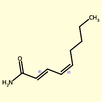 CCCC/C=C\C=C\C(N)=O